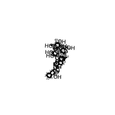 C=C1C[C@@]23CC[C@H]4[C@@](C)(CCC[C@@]4(C)C(=O)N[C@H](Cc4ccccc4)C(=O)CO)[C@@H]2CC[C@]1(O[C@@H]1O[C@H](CO)[C@@H](O)[C@H](O[C@@H]2O[C@H](CO)[C@@H](C)[C@H](O)[C@H]2O)[C@H]1O[C@@H]1O[C@H](CO)[C@@H](O)[C@H](O)[C@H]1O)C3